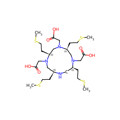 CSCC[C@H]1CN(CC(=O)O)[C@@H](CCSC)CN(CC(=O)O)[C@@H](CCSC)CN(CC(=O)O)[C@@H](CCSC)CN1